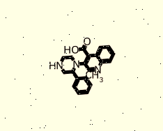 Cc1nc2ccccc2c(C(=O)O)c1N1CCNCC1c1ccccc1